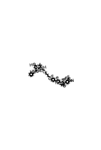 CC(C)(C)[C@H](NC(=O)COCCCCCOc1ccc(-c2ncc(N3C(=S)N(c4ccc(C#N)c(C(F)(F)F)c4F)C(=O)C3(C)C)cc2F)cc1F)C(=O)N1C[C@H](O)C[C@H]1C(=O)NCc1ccccc1